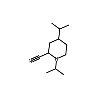 CC(C)C1CCN(C(C)C)C(C#N)C1